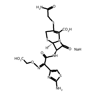 NC(=O)CSC1=C(C(=O)O)N2C(=O)[C@@H](NC(=O)/C(=N\OCC(=O)O)c3csc(N)n3)[C@H]2SC1.[NaH]